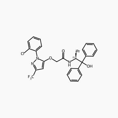 CC(C)[C@H](NC(=O)COc1cc(C(F)(F)F)nn1-c1ccccc1Cl)C(O)(c1ccccc1)c1ccccc1